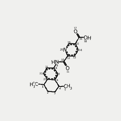 CC1CCC(C)c2cc(NC(=O)c3ccc(C(=O)O)cn3)ccc21